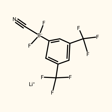 N#C[B-](F)(F)c1cc(C(F)(F)F)cc(C(F)(F)F)c1.[Li+]